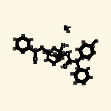 Cc1ccc(C(C(=O)O[C@H]2C[N+]3(CC(=O)c4ccccc4)CCC2CC3)c2ccccc2)cc1.[Br-]